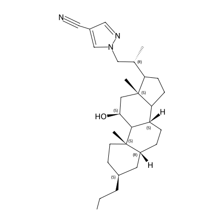 CCC[C@H]1CC[C@]2(C)C3[C@@H](CC[C@@H]2C1)C1CCC([C@@H](C)Cn2cc(C#N)cn2)[C@@]1(C)C[C@@H]3O